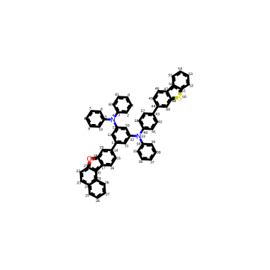 c1ccc(N(c2ccccc2)c2cc(-c3ccc4c(c3)oc3ccc5ccccc5c34)cc(N(c3ccccc3)c3ccc(-c4ccc5c(c4)sc4ccccc45)cc3)c2)cc1